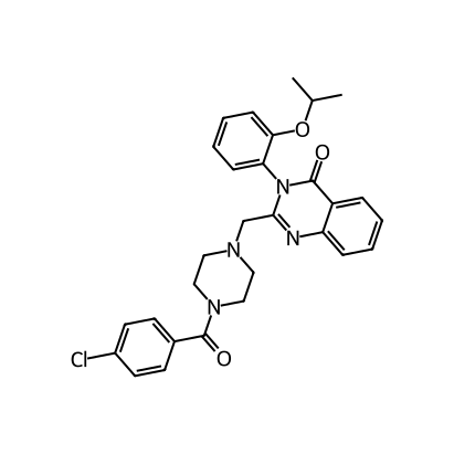 CC(C)Oc1ccccc1-n1c(CN2CCN(C(=O)c3ccc(Cl)cc3)CC2)nc2ccccc2c1=O